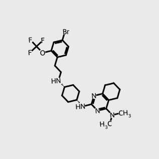 CN(C)c1nc(N[C@H]2CC[C@@H](NCCc3ccc(Br)cc3OC(F)(F)F)CC2)nc2c1CCCC2